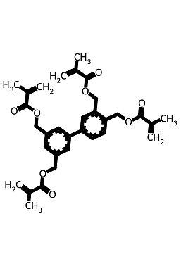 C=C(C)C(=O)OCc1cc(COC(=O)C(=C)C)cc(-c2ccc(COC(=O)C(=C)C)c(COC(=O)C(=C)C)c2)c1